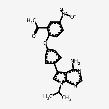 CC(=O)c1cc([N+](=O)[O-])ccc1Oc1ccc(-c2cn(C(C)C)c3ncnc(N)c23)cc1